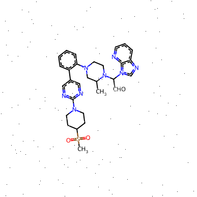 CC1CN(c2ccccc2-c2cnc(N3CCC(S(C)(=O)=O)CC3)nc2)CCN1C(C=O)n1cnc2cccnc21